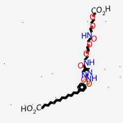 O=C(O)CCCCCCCCCCCCCc1ccc(S(=O)(=O)Nc2ncc(C(=O)NCCOCCOCC(=O)NCCOCCOCC(=O)O)cn2)cc1